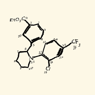 CCOC(=O)c1cccc(C2CCCCN2c2ccc(C(F)(F)F)cc2Cl)c1